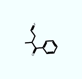 CC(CC=S)C(=O)c1ccccc1